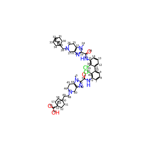 Cn1c(C(=O)Nc2cccc(-c3cccc(NC(=O)c4nc5c(n4C)CCN(CC46CCC(CC4)CC6)C5)c3Cl)c2Cl)nc2c1CCN(CCC13CCC(C(=O)O)(CC1)C3)C2